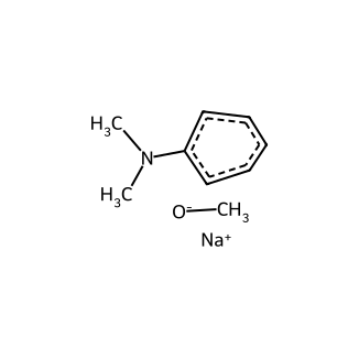 CN(C)c1ccccc1.C[O-].[Na+]